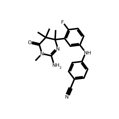 CN1C(=O)C(C)(C)C(C)(c2cc(Nc3ccc(C#N)cc3)ccc2F)N=C1N